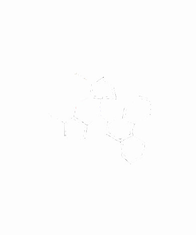 Brc1cccc2c1Oc1c(Br)cccc1N2c1cc2ccccc2c2ccccc12